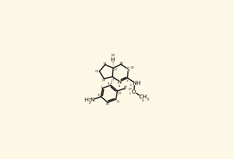 CONC1=N[C@@]2(c3cc(N)ccc3F)CCC[C@H]2CS1